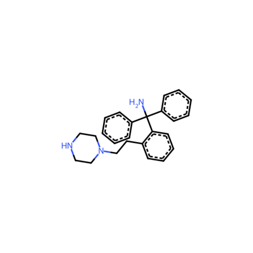 NC(c1ccccc1)(c1ccccc1)c1ccccc1CCN1CCNCC1